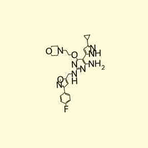 Nc1nc(NCc2cc(-c3ccc(F)cc3)no2)nc(OCCN2CCOCC2)c1-c1cc(C2CC2)n[nH]1